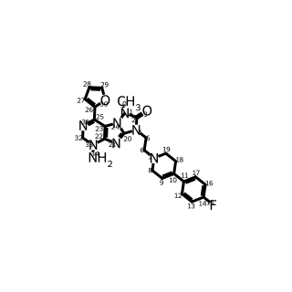 Cn1c(=O)n(CCN2CC=C(c3ccc(F)cc3)CC2)c2nc3c(n21)C(c1ccco1)=NCN3N